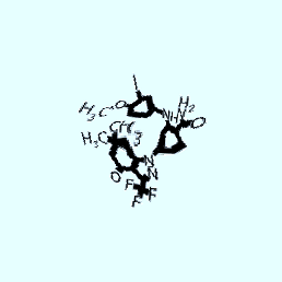 COc1ccc(Nc2cc(-n3nc(C(F)(F)F)c4c3CC(C)(C)CC4=O)ccc2C(N)=O)cc1I